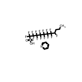 CCCC(F)C(F)(F)C(F)(F)C(F)(F)C(F)(F)C(F)(F)C(F)(F)C(F)(F)S(=O)(=O)O.c1ccncc1